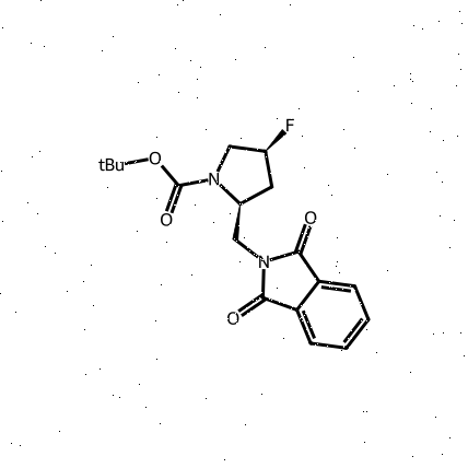 CC(C)(C)OC(=O)N1C[C@@H](F)C[C@H]1CN1C(=O)c2ccccc2C1=O